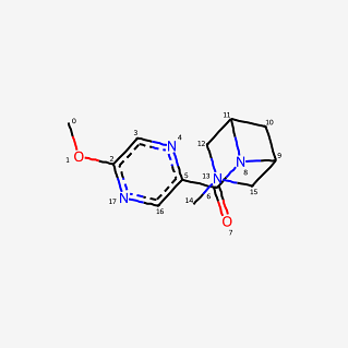 COc1cnc(C(=O)N2C3CC2CN(C)C3)cn1